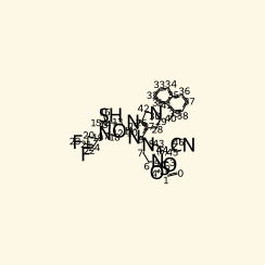 C=CS(=O)(=O)N1CCN(c2nc(OC[C@](C)(S)N(C)C3CC(F)(F)C3)nc3c2CCN(c2cccc4cccc(C)c24)C3)C[C@@H]1CC#N